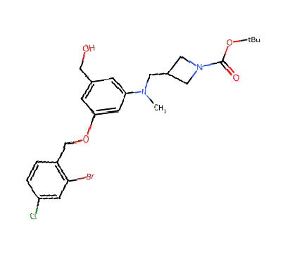 CN(CC1CN(C(=O)OC(C)(C)C)C1)c1cc(CO)cc(OCc2ccc(Cl)cc2Br)c1